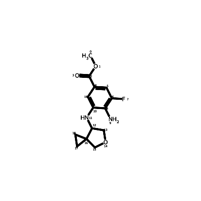 COC(=O)c1cc(F)c(N)c(NC2COCC23CC3)c1